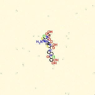 C[C@H](O/N=C(\C(=O)N[C@@H]1C(=O)N2C(C(=O)O)=C(C[n+]3cccc4c3CCCN4C(=O)c3ccc(O)c(O)c3Cl)CS[C@H]12)c1nc(N)sc1Cl)C(=O)O